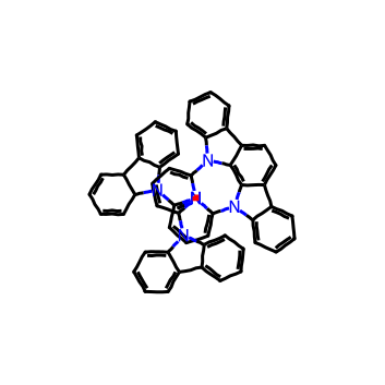 C1=CC2c3ccccc3N(c3cccc(-n4c5ccccc5c5ccc6c7ccccc7n(-c7cccc(-n8c9ccccc9c9ccccc98)n7)c6c54)n3)C2C=C1